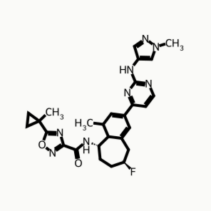 CC1C=C(c2ccnc(Nc3cnn(C)c3)n2)C=C2C[C@@H](F)CC[C@H](NC(=O)c3noc(C4(C)CC4)n3)C21